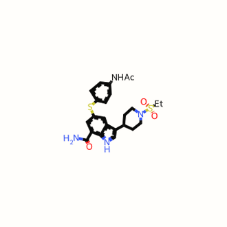 CCS(=O)(=O)N1CCC(c2c[nH]c3c(C(N)=O)cc(Sc4ccc(NC(C)=O)cc4)cc23)CC1